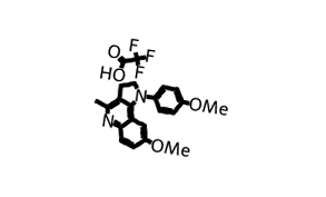 COc1ccc(N2CCc3c(C)nc4ccc(OC)cc4c32)cc1.O=C(O)C(F)(F)F